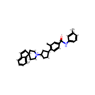 Cc1cc(C(=O)Nc2cccc(C(C)C)c2)ccc1C1CCC(N2CCC3(C=Cc4ccccc43)[C@@H](C)C2)C1